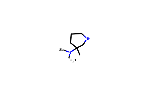 CC(C)(C)N(C(=O)O)C1(C)CCCNC1